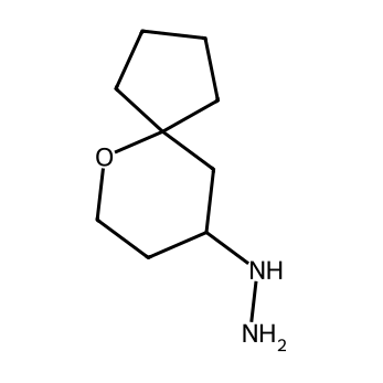 NNC1CCOC2(CCCC2)C1